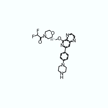 O=C(C(F)F)N1CCO[C@H](COc2nc(-c3ccc(N4CCNCC4)cc3)cc3nccnc23)C1